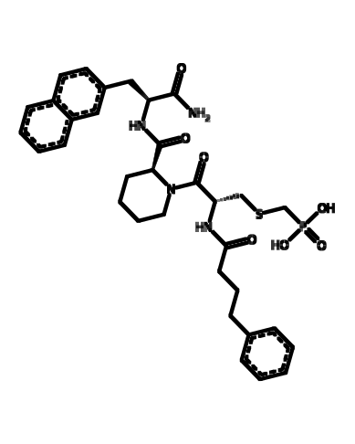 NC(=O)[C@H](Cc1ccc2ccccc2c1)NC(=O)[C@@H]1CCCCN1C(=O)[C@H](CSCP(=O)(O)O)NC(=O)CCCc1ccccc1